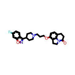 O=C1CCc2ccc(OCCCN3CCC(c4noc5cc(F)ccc45)CC3)c3c2N1CC3